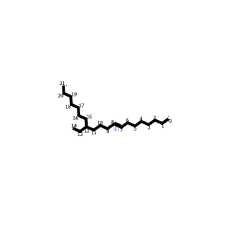 [CH2]CCCCCC/C=C/CCCC(CC)CCCCCC[CH2]